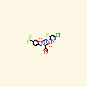 O=C1C(C2COC2)N(Cc2ccc(C(F)F)cc2)C(=O)CN1c1ncc(Cl)cc1F